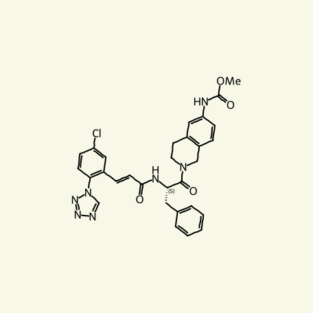 COC(=O)Nc1ccc2c(c1)CCN(C(=O)[C@H](Cc1ccccc1)NC(=O)C=Cc1cc(Cl)ccc1-n1cnnn1)C2